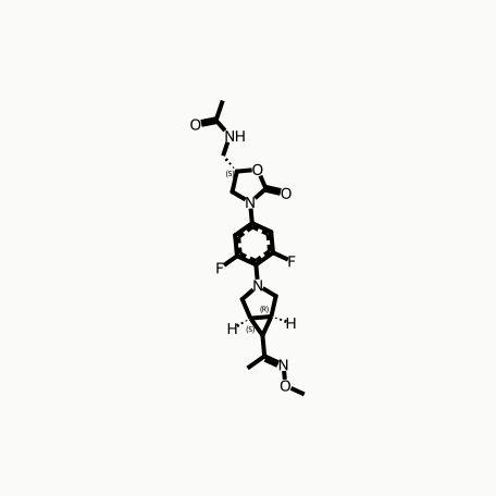 CON=C(C)C1[C@H]2CN(c3c(F)cc(N4C[C@H](CNC(C)=O)OC4=O)cc3F)C[C@@H]12